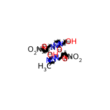 CC1CN(/N=C/c2ccc([N+](=O)[O-])o2)C(O)=N1.O=C1N(CCO)CCN1/N=C/c1ccc([N+](=O)[O-])o1